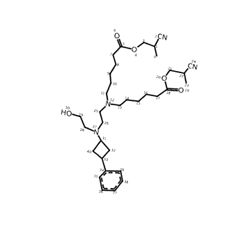 CC(C#N)COC(=O)CCCCCN(CCCCCC(=O)OCC(C)C#N)CCN(CCO)C1CC(c2ccccc2)C1